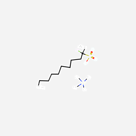 CCCCCCCCCCCCCCCCCCC(F)(CCCCCCCCC)S(=O)(=O)[O-].CC[N+](CC)(CC)CC